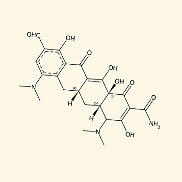 CN(C)c1cc(C=O)c(O)c2c1C[C@H]1C[C@H]3C(N(C)C)C(O)=C(C(N)=O)C(=O)[C@@]3(O)C(O)=C1C2=O